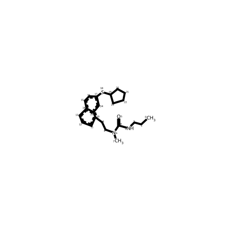 CCCNC(=O)N(C)CCc1cccc2ccc(SC3CCCC3)cc12